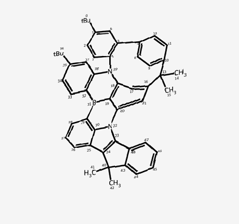 CC(C)(C)c1ccc2c(c1)-c1ccc(cc1)C(C)(C)c1cc3c4c(c1)-n1c5c(c6cccc(c61)B4c1ccc(C(C)(C)C)cc1N23)C(C)(C)c1ccccc1-5